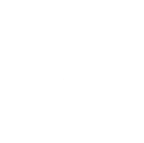 CC1(O)C(O)COC1CO